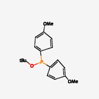 COc1ccc(P(OC(C)(C)C)c2ccc(OC)cc2)cc1